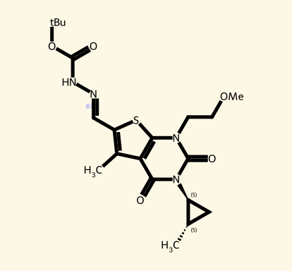 COCCn1c(=O)n([C@H]2C[C@@H]2C)c(=O)c2c(C)c(/C=N/NC(=O)OC(C)(C)C)sc21